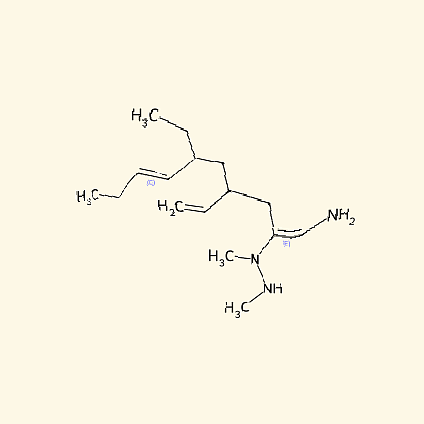 C=CC(C/C(=C\N)N(C)NC)CC(/C=C/CC)CC